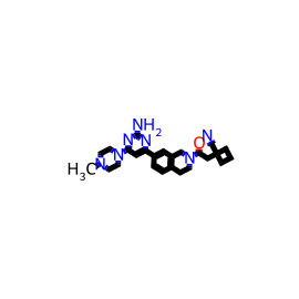 CN1CCN(c2cc(-c3ccc4c(c3)CN(C(=O)CC3(C#N)CCC3)CC4)nc(N)n2)CC1